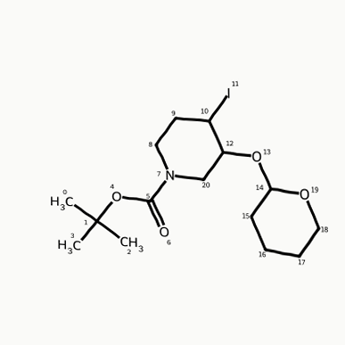 CC(C)(C)OC(=O)N1CCC(I)C(OC2CCCCO2)C1